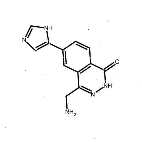 NCc1n[nH]c(=O)c2ccc(-c3cnc[nH]3)cc12